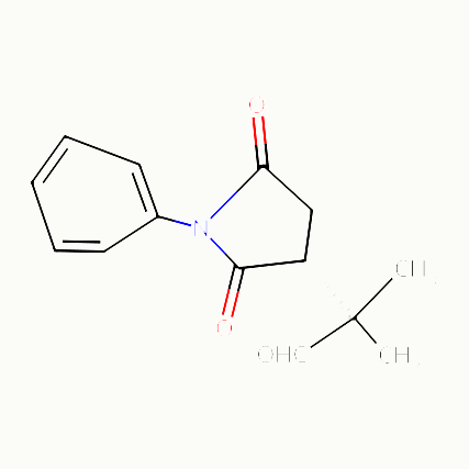 CC(C)(C=O)[C@H]1CC(=O)N(c2ccccc2)C1=O